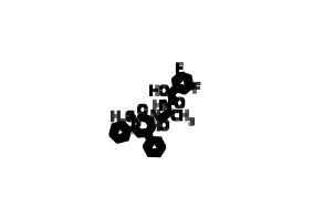 C[C@H](NC(=O)[C@@H](O)c1cc(F)cc(F)c1)C(=O)N[C@H]1CC(c2ccccc2)=C[C@@H](c2ccccc2)N(C)C1=O